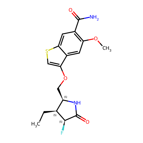 CC[C@@H]1[C@H](F)C(=O)N[C@@H]1COc1csc2cc(C(N)=O)c(OC)cc12